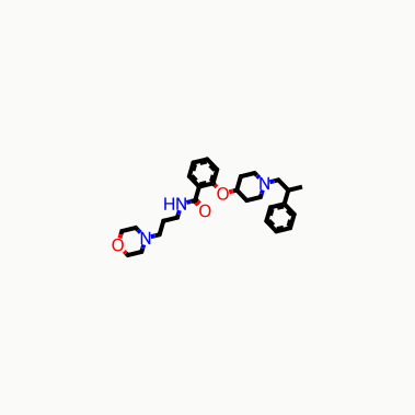 CC(CN1CCC(Oc2ccccc2C(=O)NCCCN2CCOCC2)CC1)c1ccccc1